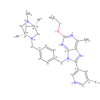 CCOc1nc(C)c2nc(-c3cncc(F)c3)n(Cc3ccc(CN4C[C@H]5C[C@@H]4CN5C)cc3)c2n1